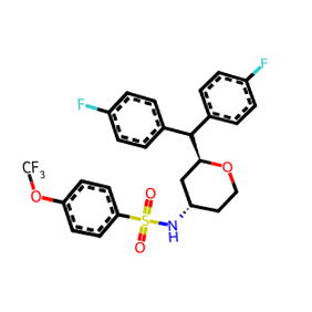 O=S(=O)(N[C@H]1CCO[C@H](C(c2ccc(F)cc2)c2ccc(F)cc2)C1)c1ccc(OC(F)(F)F)cc1